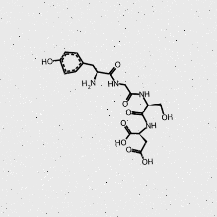 N[C@@H](Cc1ccc(O)cc1)C(=O)NCC(=O)N[C@@H](CO)C(=O)N[C@@H](CC(=O)O)C(=O)O